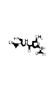 CCC(=O)Nc1cc(C(=O)NCC(C=N)[C@@H]2C=C2CC)cc(C)n1